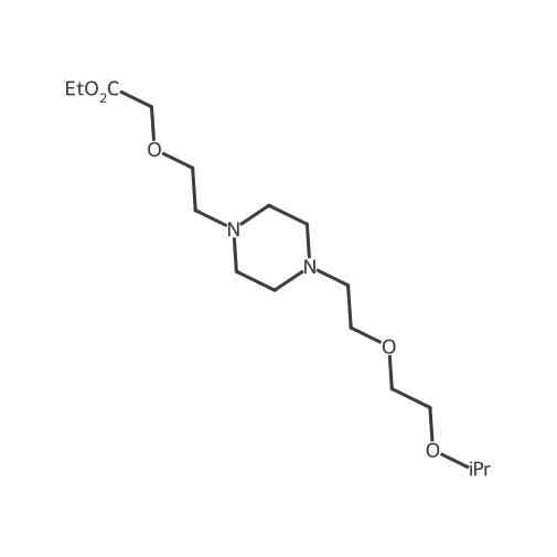 CCOC(=O)COCCN1CCN(CCOCCOC(C)C)CC1